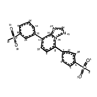 CS(=O)(=O)c1ccc(-c2ccc(-c3cccc(S(C)(=O)=O)c3)c3n[c]nn23)cc1